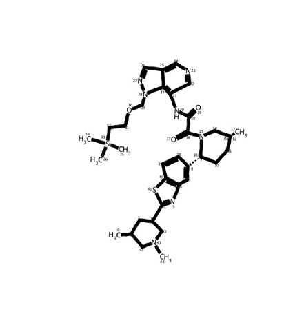 CC1CC(c2nc3cc([C@H]4CC[C@H](C)CN4C(=O)C(=O)Nc4cncc5cnn(COCC[Si](C)(C)C)c45)ccc3s2)CN(C)C1